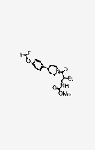 CCC(CNC(=O)OC)C(=O)N1CCC(c2ccc(OC(F)F)cc2)CC1